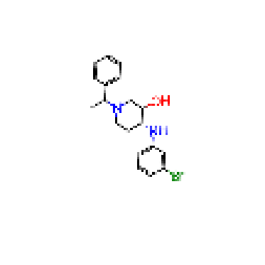 CC(c1ccccc1)N1CC[C@@H](Nc2cccc(Br)c2)[C@H](O)C1